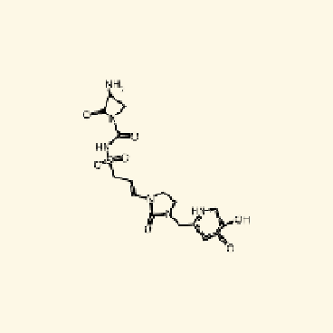 NC1CN(C(=O)NS(=O)(=O)CC=CN2CCN(Cc3cc(=O)c(O)c[nH]3)C2=O)C1=O